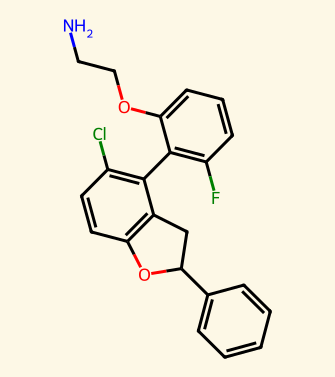 NCCOc1cccc(F)c1-c1c(Cl)ccc2c1CC(c1ccccc1)O2